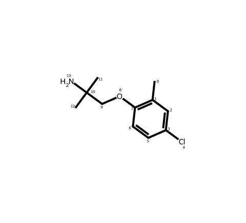 Cc1cc(Cl)ccc1OCC(C)(C)N